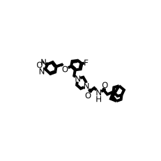 O=C(CC12CC3CC(CC(C3)C1)C2)NCC(=O)N1CCN(Cc2cc(F)ccc2OCc2ccc3nonc3c2)CC1